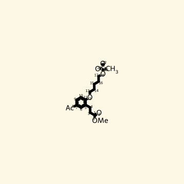 COC(=O)CCc1cc(C(C)=O)ccc1OCCCCCOS(C)(=O)=O